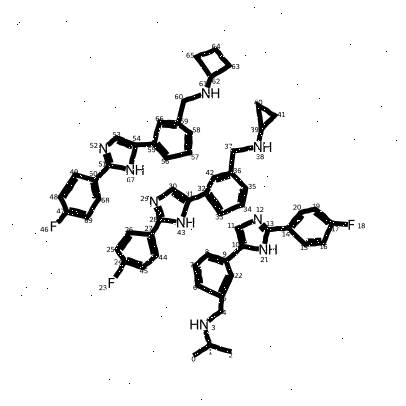 CC(C)NCc1cccc(-c2cnc(-c3ccc(F)cc3)[nH]2)c1.Fc1ccc(-c2ncc(-c3cccc(CNC4CC4)c3)[nH]2)cc1.Fc1ccc(-c2ncc(-c3cccc(CNC4CCC4)c3)[nH]2)cc1